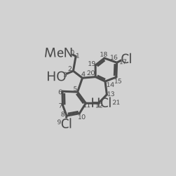 CNCC(O)C1c2ccc(Cl)cc2CCc2cc(Cl)ccc21.Cl